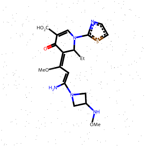 CCC1/C(=C(\C=C(/N)N2CC(NOC)C2)OC)C(=O)C(C(=O)O)=CN1c1nccs1